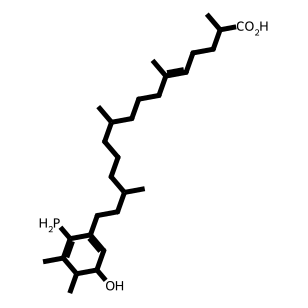 CC1=C(P)C(CCC(C)CCCC(C)CCC/C(C)=C/CCC(C)C(=O)O)=CC(O)C1C